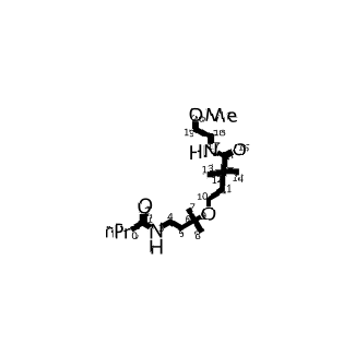 CCCC(=O)NCCC(C)(C)OCCC(C)(C)C(=O)NCCOC